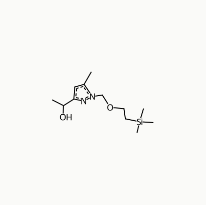 Cc1cc(C(C)O)nn1COCC[Si](C)(C)C